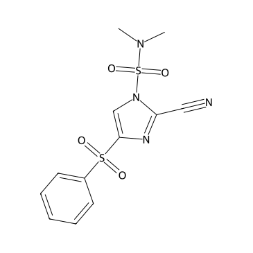 CN(C)S(=O)(=O)n1cc(S(=O)(=O)c2ccccc2)nc1C#N